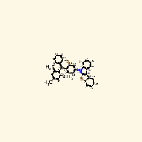 Cc1cc(C)c(B2c3ccccc3Sc3cc(-n4c5c(c6ccccc64)C4C=CC=CC4S5)ccc32)c(C)c1